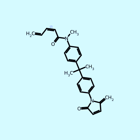 C=C/C=C\C(=O)N(C)c1ccc(C(C)(C)c2ccc(N3C(=C)C=CC3=O)cc2)cc1